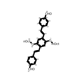 CCCCCCCCOc1cc(C=Cc2ccc(C=O)cc2)c(OCCCCCCCC)cc1C=Cc1ccc(C=O)cc1